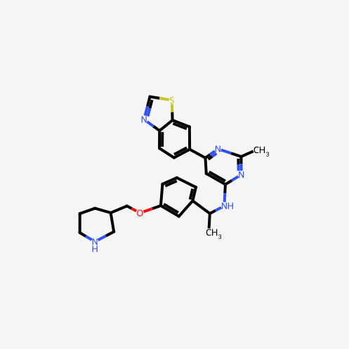 Cc1nc(NC(C)c2cccc(OCC3CCCNC3)c2)cc(-c2ccc3ncsc3c2)n1